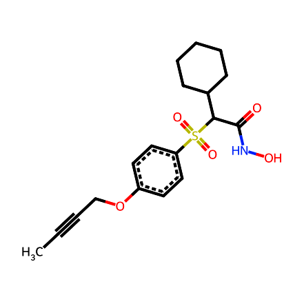 CC#CCOc1ccc(S(=O)(=O)C(C(=O)NO)C2CCCCC2)cc1